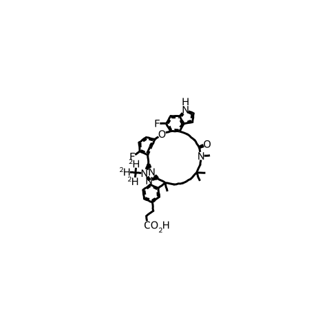 [2H]C([2H])([2H])n1nc2nc1-c1cc(ccc1F)Oc1c(F)cc3[nH]ccc3c1CCC(=O)N(C)CC(C)(C)CCCC2(C)c1cccc(CCC(=O)O)c1